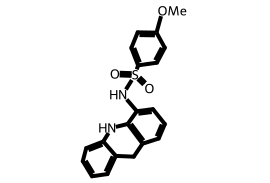 COc1ccc(S(=O)(=O)Nc2cccc3c2Nc2ccccc2C3)cc1